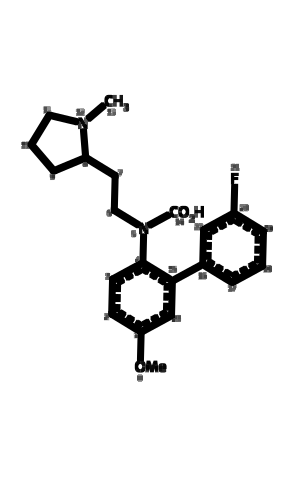 COc1ccc(N(CCC2CCCN2C)C(=O)O)c(-c2cccc(F)c2)c1